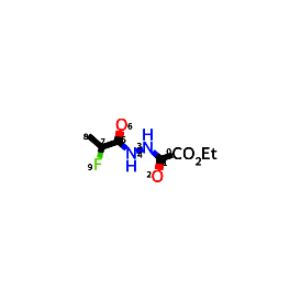 CCOC(=O)C(=O)NNC(=O)C(C)F